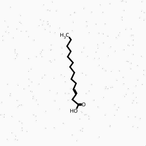 CCCCCCCCCCC=CCC(=O)O